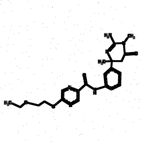 CCOCCOc1cnc(C(=O)Nc2cccc(C3(C)CC(=O)N(C)C(N)=N3)c2)cn1